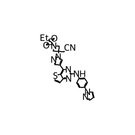 CCS(=O)(=O)N1CC(CC#N)(n2cc(-c3nc(Nc4ccc(-n5cccn5)cc4)nc4ccsc34)cn2)C1